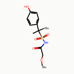 CCCCC(C)(c1ccc(O)cc1)S(=O)(=O)NC(=O)COC(C)(C)C